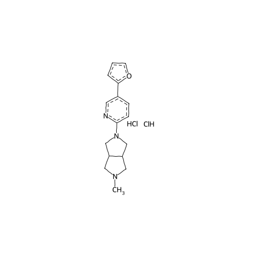 CN1CC2CN(c3ccc(-c4ccco4)cn3)CC2C1.Cl.Cl